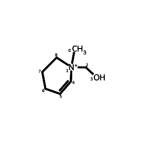 C[N+]1(CO)C=CCCC1